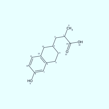 CC(CC1CCc2cc(O)ccc2C1)C(=O)O